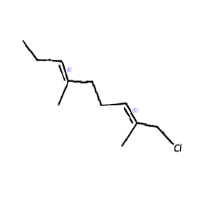 CC/C=C(\C)CC/C=C(\C)CCl